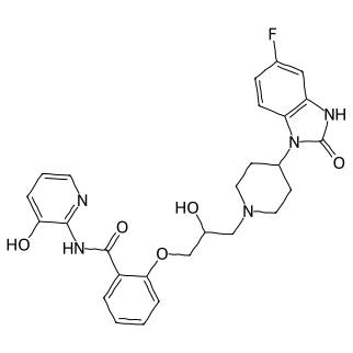 O=C(Nc1ncccc1O)c1ccccc1OCC(O)CN1CCC(n2c(=O)[nH]c3cc(F)ccc32)CC1